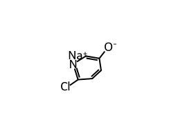 [Na+].[O-]c1ccc(Cl)nc1